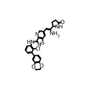 NC(=Cc1cnc2c(Nc3cccc(-c4ccc5c(c4)OCCO5)c3Cl)nsc2c1)C1CCC(=O)N1